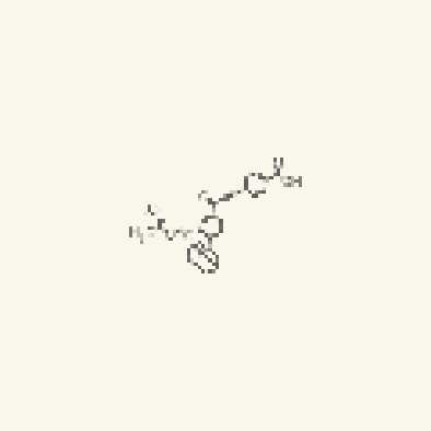 COC(C)OCOc1cc(C(=O)C#Cc2ccc(C(=O)O)cc2)ccc1C12CC3CC(CC(C3)C1)C2